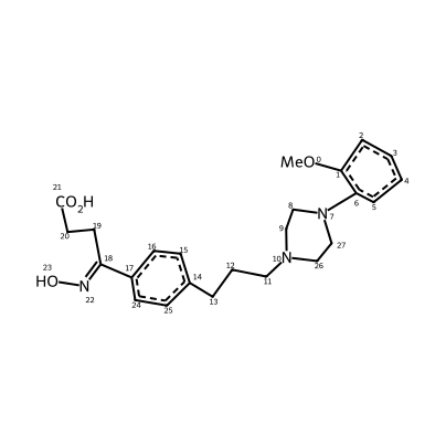 COc1ccccc1N1CCN(CCCc2ccc(C(CCC(=O)O)=NO)cc2)CC1